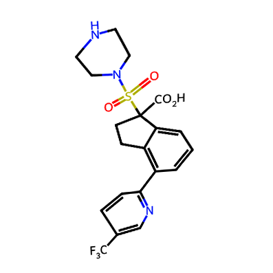 O=C(O)C1(S(=O)(=O)N2CCNCC2)CCc2c(-c3ccc(C(F)(F)F)cn3)cccc21